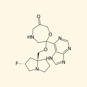 O=C1CNCC(OC[C@@]23CCCN2C[C@H](F)C3)(c2ncnc3nc[nH]c23)OC1